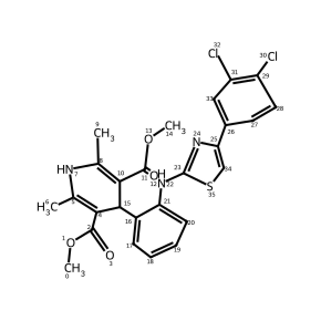 COC(=O)C1=C(C)NC(C)=C(C(=O)OC)C1c1ccccc1Nc1nc(-c2ccc(Cl)c(Cl)c2)cs1